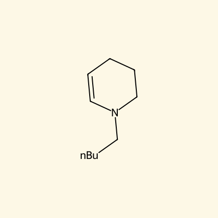 CCCCCN1C=CCCC1